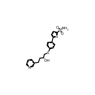 NS(=O)(=O)c1ccc(-c2ccc(SC[C@H](O)CCc3cccnc3)cc2)s1